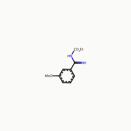 CCOC(=O)NC(=N)c1cc[c]c(OC)c1